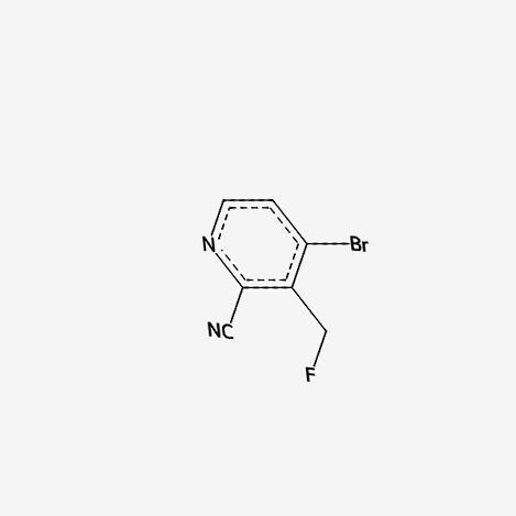 N#Cc1nccc(Br)c1CF